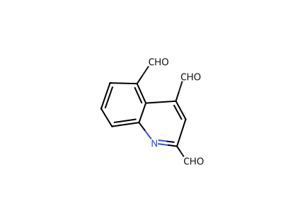 O=Cc1cc(C=O)c2c(C=O)cccc2n1